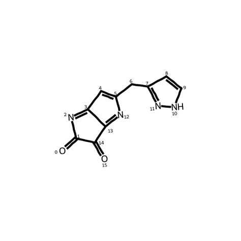 O=c1nc2cc(Cc3cc[nH]n3)nc-2c1=O